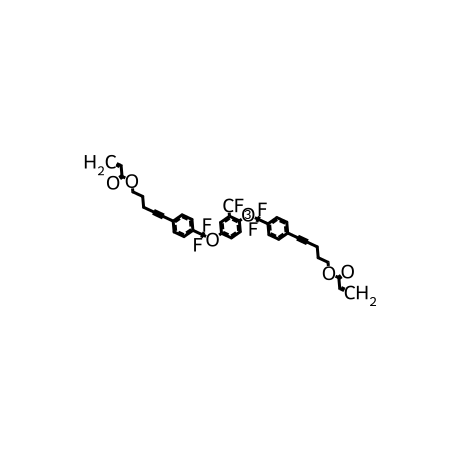 C=CC(=O)OCCCC#Cc1ccc(C(F)(F)Oc2ccc(OC(F)(F)c3ccc(C#CCCCOC(=O)C=C)cc3)c(C(F)(F)F)c2)cc1